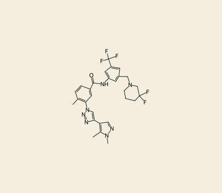 Cc1ccc(C(=O)Nc2cc(CN3CCCC(F)(F)C3)cc(C(F)(F)F)c2)cc1-n1cc(-c2cnn(C)c2C)nn1